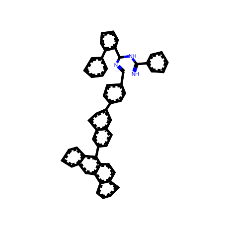 N=C(NC(/N=C/c1ccc(-c2ccc3cc(-c4c5ccccc5cc5c4ccc4ccccc45)ccc3c2)cc1)c1ccccc1-c1ccccc1)c1ccccc1